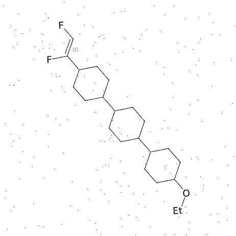 CCOC1CCC(C2CCC(C3CCC(/C(F)=C/F)CC3)CC2)CC1